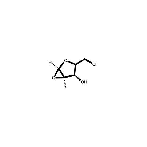 C[C@]12O[C@H]1OC(CO)[C@H]2O